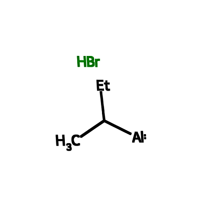 Br.CC[CH](C)[Al]